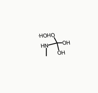 CNC(O)(O)O.[OH]